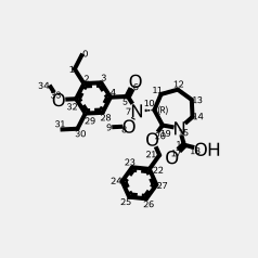 CCc1cc(C(=O)N(OC)[C@@H]2CCCCN(C(=O)O)C2OCc2ccccc2)cc(CC)c1OC